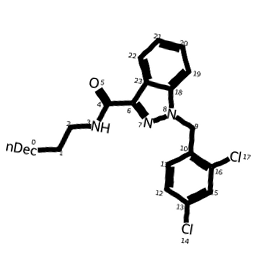 CCCCCCCCCCCCNC(=O)c1nn(Cc2ccc(Cl)cc2Cl)c2ccccc12